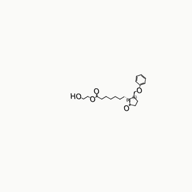 O=C(CCCCCC[C@H]1C(=O)CC[C@@H]1COc1ccccc1)OCCO